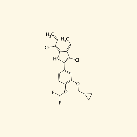 C=C/C(Cl)=c1/[nH]c(-c2ccc(OC(F)F)c(OCC3CC3)c2)c(Cl)/c1=C/C